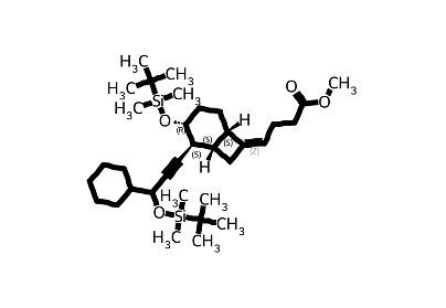 COC(=O)CC/C=C1/C[C@@H]2[C@@H](C#CC(O[Si](C)(C)C(C)(C)C)C3CCCCC3)[C@H](O[Si](C)(C)C(C)(C)C)CC[C@H]12